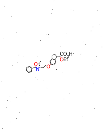 CCOC(C(=O)O)C1CCc2cc(OCCC3N=C(c4ccccc4)OC3C)ccc21